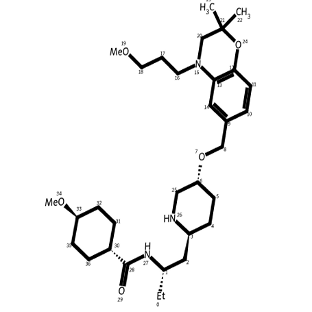 CC[C@@H](C[C@@H]1CC[C@@H](OCc2ccc3c(c2)N(CCCOC)CC(C)(C)O3)CN1)NC(=O)[C@H]1CC[C@H](OC)CC1